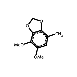 COc1cc(C)c2c(c1OC)OCO2